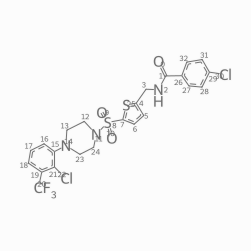 O=C(NCc1ccc(S(=O)(=O)N2CCN(c3cccc(C(F)(F)F)c3Cl)CC2)s1)c1ccc(Cl)cc1